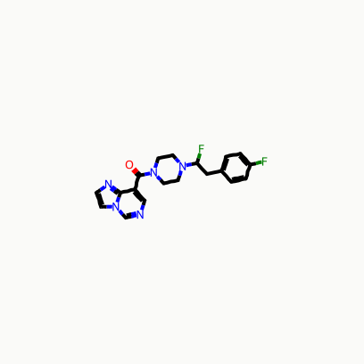 O=C(c1cncn2ccnc12)N1CCN(C(F)Cc2ccc(F)cc2)CC1